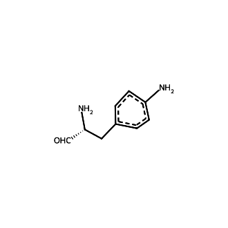 Nc1ccc(C[C@@H](N)C=O)cc1